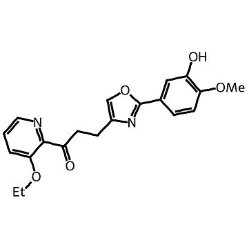 CCOc1cccnc1C(=O)CCc1coc(-c2ccc(OC)c(O)c2)n1